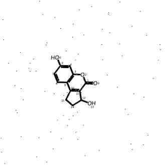 O=c1oc2cc(O)ccc2c2c1C(O)CC2